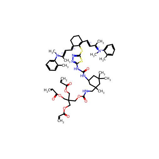 C=CC(=O)OCC(COC(=O)C=C)(COC(=O)C=C)COC(=O)NCC1(C)CC(NC(=O)Nc2nnc(SC3=C(/C=C/C(C)=[N+](\C)c4ccccc4C)CCC/C3=C\C=C(/C)N(C)c3ccccc3C)s2)CC(C)(C)C1